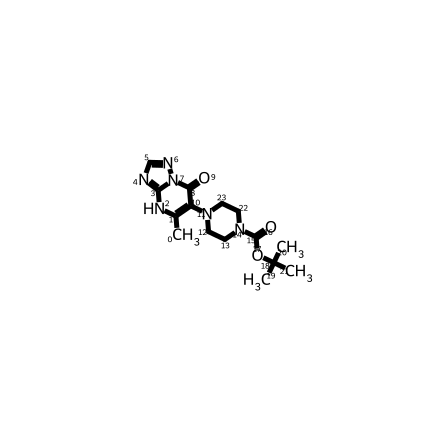 Cc1[nH]c2ncnn2c(=O)c1N1CCN(C(=O)OC(C)(C)C)CC1